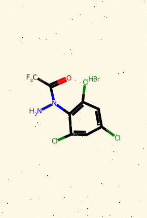 Br.NN(C(=O)C(F)(F)F)c1c(Cl)cc(Cl)cc1Cl